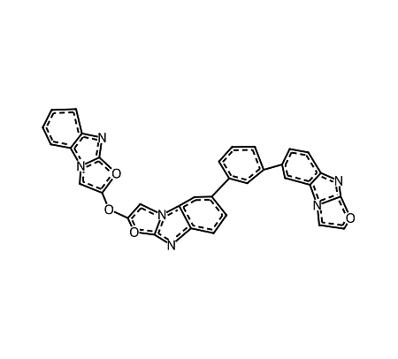 c1cc(-c2ccc3nc4occn4c3c2)cc(-c2ccc3nc4oc(Oc5cn6c(nc7ccccc76)o5)cn4c3c2)c1